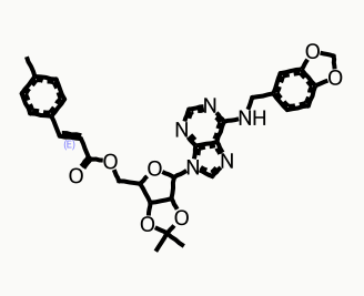 Cc1ccc(/C=C/C(=O)OCC2OC(n3cnc4c(NCc5ccc6c(c5)OCO6)ncnc43)C3OC(C)(C)OC23)cc1